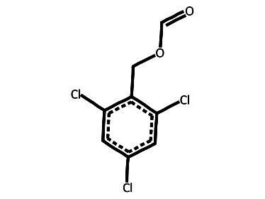 O=COCc1c(Cl)cc(Cl)cc1Cl